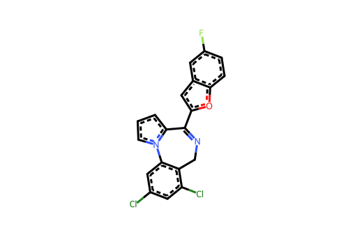 Fc1ccc2oc(C3=NCc4c(Cl)cc(Cl)cc4-n4cccc43)cc2c1